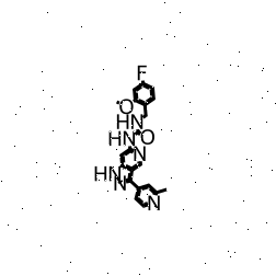 COc1cc(F)ccc1CNC(=O)Nc1cc2[nH]nc(-c3ccnc(C)c3)c2cn1